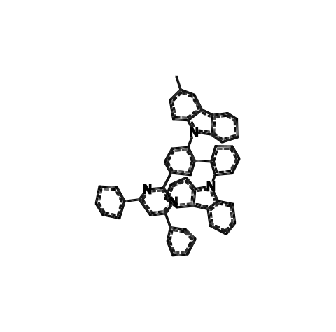 Cc1ccc2c(c1)c1ccccc1n2-c1ccc(-c2nc(-c3ccccc3)cc(-c3ccccc3)n2)cc1-c1ccccc1-n1c2ccccc2c2ccccc21